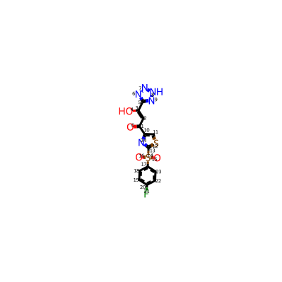 O=C(C=C(O)c1nn[nH]n1)c1csc(S(=O)(=O)c2ccc(F)cc2)n1